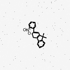 CC1(C)C2=C(CCC(c3ccccc3[N+](=O)[O-])=C2)c2ccccc21